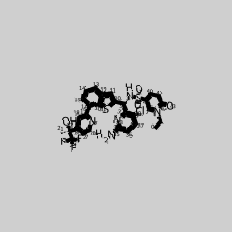 CCn1cc(S(=O)(=O)N[C@@H](c2cc3cccc(-c4cc([C@](C)(O)C(F)(F)F)ccn4)c3s2)c2nc(N)ccc2Cl)ccc1=O